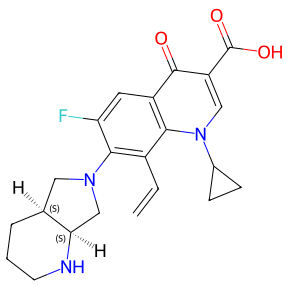 C=Cc1c(N2C[C@@H]3CCCN[C@@H]3C2)c(F)cc2c(=O)c(C(=O)O)cn(C3CC3)c12